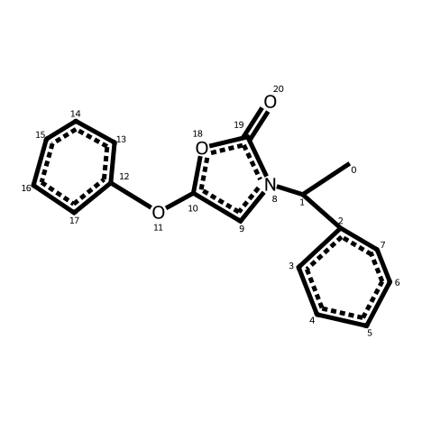 CC(c1ccccc1)n1cc(Oc2ccccc2)oc1=O